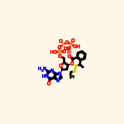 CC(C)CSSC(C)c1ccccc1C(=O)O[C@@H]1C[C@H](n2cnc3c(=O)[nH]c(N)nc32)OC1COP(=O)(O)OP(=O)(O)OP(=O)(O)O